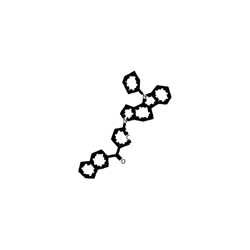 O=C(c1ccc(-n2ccc3c2ccc2c4ccccc4n(-c4ccccc4)c23)cc1)c1ccc2ccccc2c1